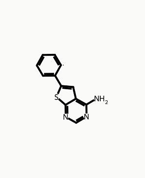 Nc1ncnc2sc(-c3[c]cccc3)cc12